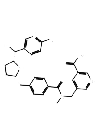 COC(=O)c1cncc(CN(C)C(=O)c2ccc(C[C@@H]3CC[C@H](C(O)c4ccc(Cl)nc4)N3)cc2)c1